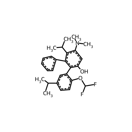 CC(C)c1ccc(OC(F)F)c(-c2c(O)cc(N(C)C)c(C(C)C)c2-c2ccccc2)c1